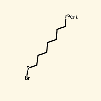 CCCCCCCCCCCCSBr